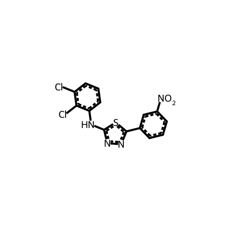 O=[N+]([O-])c1cccc(-c2nnc(Nc3cccc(Cl)c3Cl)s2)c1